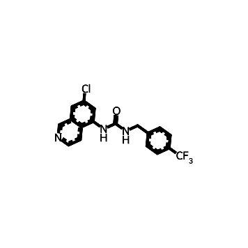 O=C(NCc1ccc(C(F)(F)F)cc1)Nc1cc(Cl)cc2cnccc12